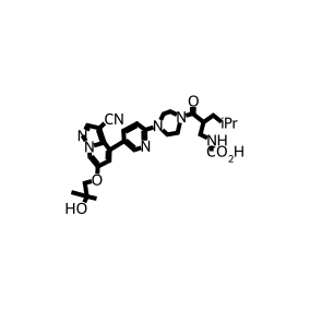 CC(C)CC(CNC(=O)O)C(=O)N1CCN(c2ccc(-c3cc(OCC(C)(C)O)cn4ncc(C#N)c34)cn2)CC1